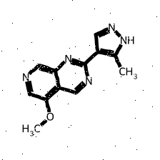 COc1cncc2nc(-c3cn[nH]c3C)ncc12